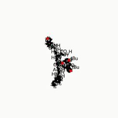 C=C(OC(C)(C)C)n1cc([C@H](NC(C)=O)C(=O)N[C@@H](Cc2ccc(OC(C)(C)C)cc2)C(=O)N[C@@H](CCCNC(=N)NS(=O)(=O)c2c(C)c(C)c3c(c2C)CCC(C)(C)O3)C(=O)NCC(=O)N[C@@H](CCCNC(=N)NS(=O)(=O)c2c(C)c(C)c3c(c2C)CCC(C)(C)O3)C(=O)N[C@@H](CC(C)C)C(=O)O)c2ccccc21